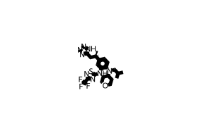 CC(C)CN(c1ccc([C@H](C)Cc2nnn[nH]2)cc1Nc1nc(C(F)(F)F)ns1)C1CCOCC1